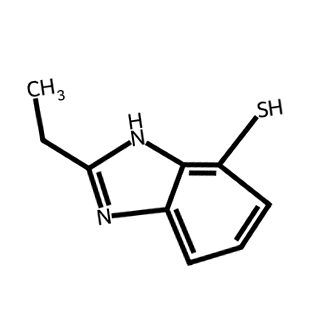 CCc1nc2cccc(S)c2[nH]1